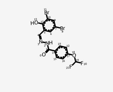 O=C(N/N=C\c1cc(Br)cc(Br)c1O)c1ccc(OC(F)F)cc1